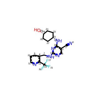 N#Cc1cnc(NCc2cccnc2C(F)(F)F)nc1N[C@H]1CC[C@@H](O)CC1